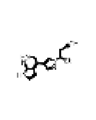 C#CCC(CC)n1cc(C2=c3cc[nH]c3=NNC2)cn1